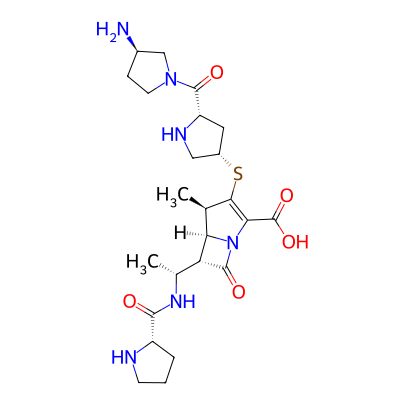 C[C@@H](NC(=O)[C@@H]1CCCN1)[C@H]1C(=O)N2C(C(=O)O)=C(S[C@@H]3CN[C@H](C(=O)N4CC[C@@H](N)C4)C3)[C@H](C)[C@H]12